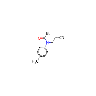 CCC(=O)N(CCC#N)c1ccc(C)cc1